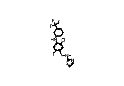 Fc1cc(NC2CCC=C(C(F)(F)F)C2)c(Cl)cc1SNc1nccs1